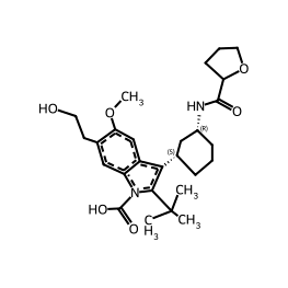 COc1cc2c([C@H]3CCC[C@@H](NC(=O)C4CCCO4)C3)c(C(C)(C)C)n(C(=O)O)c2cc1CCO